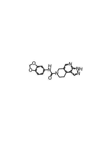 O=C(Nc1ccc2c(c1)OCO2)N1CCc2c(cnc3[nH]ncc23)C1